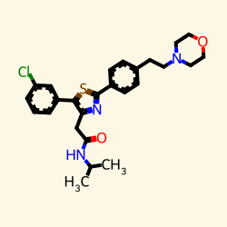 CC(C)NC(=O)Cc1nc(-c2ccc(CCN3CCOCC3)cc2)sc1-c1cccc(Cl)c1